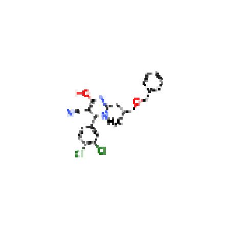 CC(COCc1ccccc1)Cc1nc(O)c(C#N)c(-c2ccc(Cl)c(Cl)c2)n1